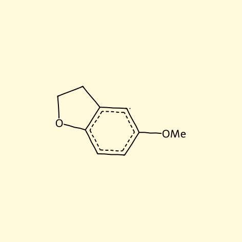 COc1[c]c2c(cc1)OCC2